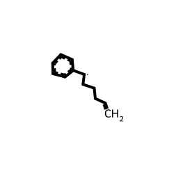 C=CCCC[CH]c1ccccc1